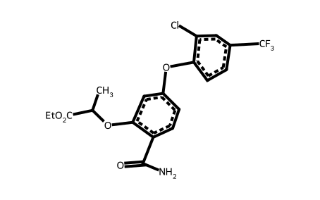 CCOC(=O)C(C)Oc1cc(Oc2ccc(C(F)(F)F)cc2Cl)ccc1C(N)=O